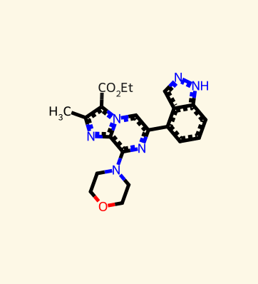 CCOC(=O)c1c(C)nc2c(N3CCOCC3)nc(-c3cccc4[nH]ncc34)cn12